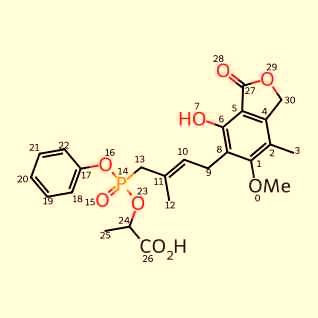 COc1c(C)c2c(c(O)c1C/C=C(\C)CP(=O)(Oc1ccccc1)OC(C)C(=O)O)C(=O)OC2